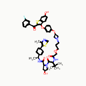 Cc1ncsc1-c1ccc([C@H](C)NC(=O)C2CC(O)CN2C(=O)[C@@H](NC(=O)COCCCN2CC(Oc3ccc(Oc4c(C(=O)c5cccc(F)c5)sc5cc(O)ccc45)cc3)C2)C(C)(C)C)cc1